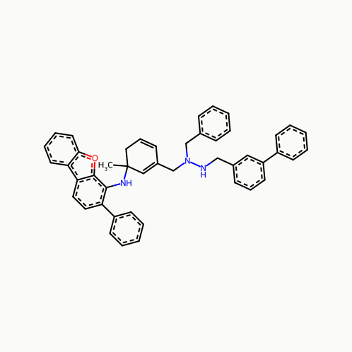 CC1(Nc2c(-c3ccccc3)ccc3c2oc2ccccc23)C=C(CN(Cc2ccccc2)NCc2cccc(-c3ccccc3)c2)C=CC1